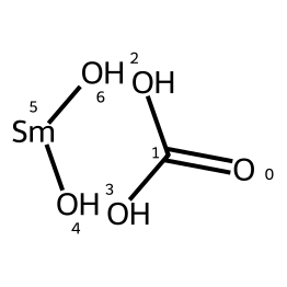 O=C(O)O.[OH][Sm][OH]